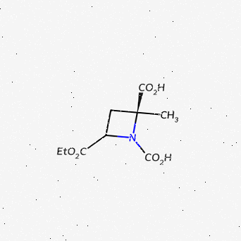 CCOC(=O)C1C[C@@](C)(C(=O)O)N1C(=O)O